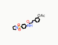 CC(=O)Oc1cccc(/C=C/C(=O)Nc2ccc(S(=O)(=O)N3CCCC3)cc2)c1